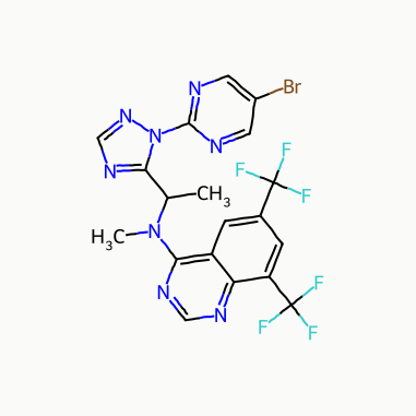 CC(c1ncnn1-c1ncc(Br)cn1)N(C)c1ncnc2c(C(F)(F)F)cc(C(F)(F)F)cc12